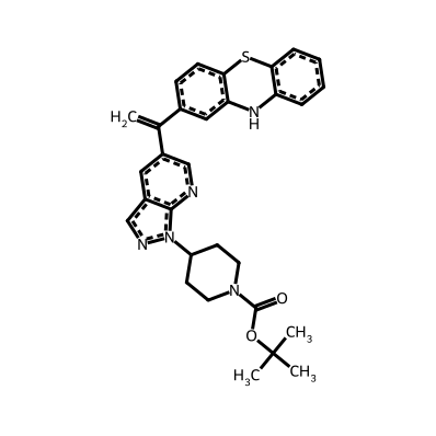 C=C(c1ccc2c(c1)Nc1ccccc1S2)c1cnc2c(cnn2C2CCN(C(=O)OC(C)(C)C)CC2)c1